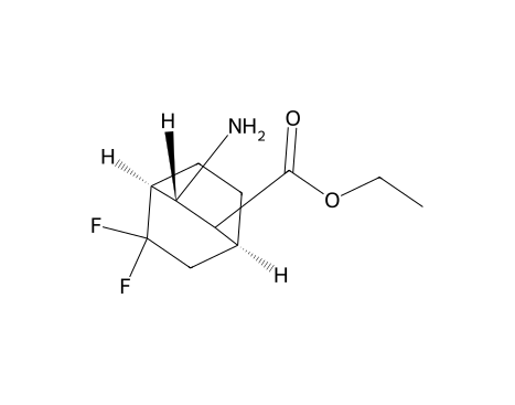 CCOC(=O)C1[C@H]2CC[C@@H]([C@@H]1N)C(F)(F)C2